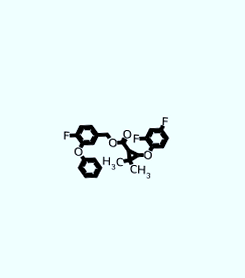 CC1(C)C(Oc2ccc(F)cc2F)C1C(=O)OCc1ccc(F)c(Oc2ccccc2)c1